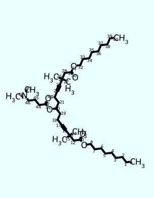 CCCCCCCCCOC(=O)CC(C)(C)C#CCCC(CCC#CC(C)(C)CC(=O)OCCCCCCCCC)OC(=O)CCCN(C)C